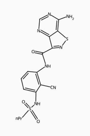 CCCS(=O)(=O)Nc1cccc(NC(=O)c2nsc3c(N)ncnc23)c1C#N